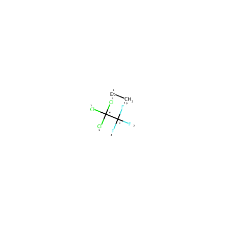 CCC.FC(F)(F)C(Cl)(Cl)Cl